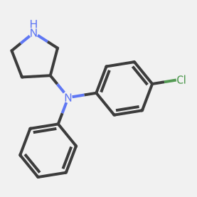 Clc1ccc(N(c2ccccc2)C2CCNC2)cc1